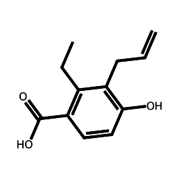 C=CCc1c(O)ccc(C(=O)O)c1CC